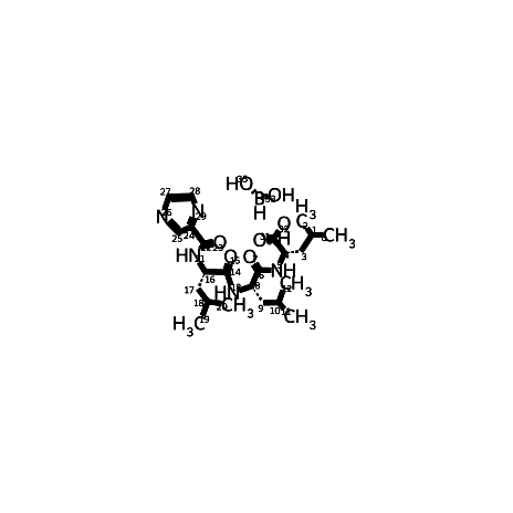 CC(C)C[C@H](NC(=O)[C@H](CC(C)C)NC(=O)[C@H](CC(C)C)NC(=O)c1cnccn1)C(=O)O.OBO